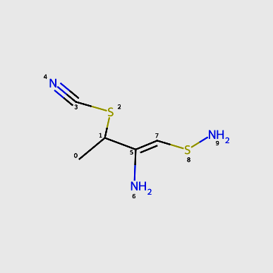 CC(SC#N)/C(N)=C/SN